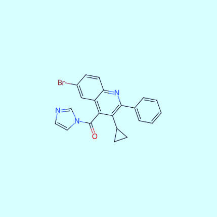 O=C(c1c(C2CC2)c(-c2ccccc2)nc2ccc(Br)cc12)n1ccnc1